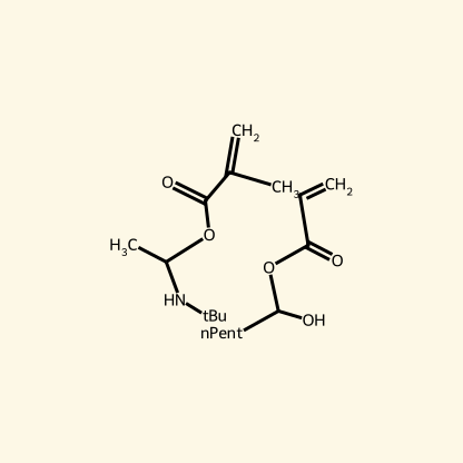 C=C(C)C(=O)OC(C)NC(C)(C)C.C=CC(=O)OC(O)CCCCC